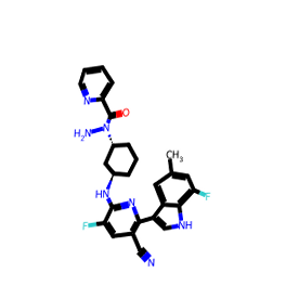 Cc1cc(F)c2[nH]cc(-c3nc(N[C@@H]4CCC[C@@H](N(N)C(=O)c5ccccn5)C4)c(F)cc3C#N)c2c1